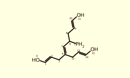 OC=CCC(=CC(P)CC=CO)CC=CO